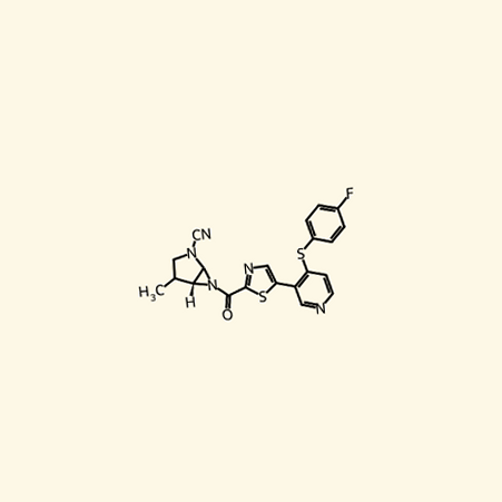 CC1CN(C#N)C2[C@@H]1N2C(=O)c1ncc(-c2cnccc2Sc2ccc(F)cc2)s1